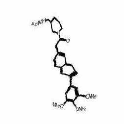 COc1cc(-c2ccc3cc(CC(=O)N4CCCC(NC(C)=O)C4)ccc3c2)cc(OC)c1OC